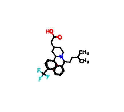 CC(C)CCC(c1ccccc1)N1CCC(CC(=O)O)CC1c1ccc(C(F)(F)F)cc1